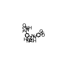 CC#N.CC1SC(=O)NN=C1c1ccc2c(c1)C(=NNc1ccc(S(C)(=O)=O)cc1)C(=O)N2